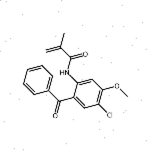 C=C(C)C(=O)Nc1cc(OC)c(Cl)cc1C(=O)c1ccccc1